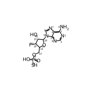 Nc1ncnc2c1ncn2C1OC(COP(=O)(O)S)C(F)[C@@H]1O